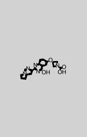 O=C(O)N1CC(Oc2ccc3nc(-c4cc5cccn5cn4)nc(O)c3c2)C1